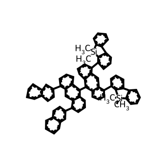 C[Si]1(C)c2ccccc2-c2cccc(-c3cccc4c(-c5c6cccc(-c7ccc8ccccc8c7)c6cc6c(-c7ccc8ccccc8c7)cccc56)c5cccc(-c6cccc7c6[Si](C)(C)c6ccccc6-7)c5cc34)c21